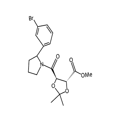 COC(=O)[C@@H]1OC(C)(C)O[C@H]1C(=O)N1CCCC1c1cccc(Br)c1